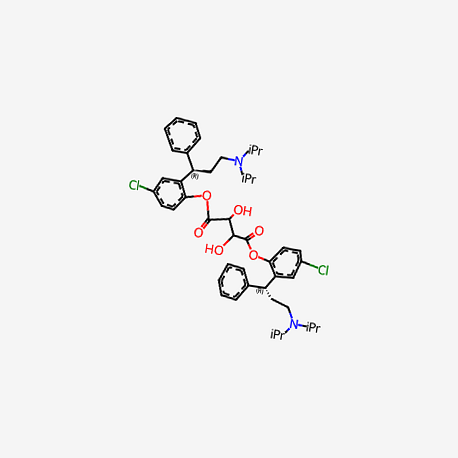 CC(C)N(CC[C@H](c1ccccc1)c1cc(Cl)ccc1OC(=O)C(O)C(O)C(=O)Oc1ccc(Cl)cc1[C@H](CCN(C(C)C)C(C)C)c1ccccc1)C(C)C